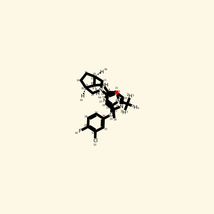 [2H]C([2H])([2H])n1nc(N[C@H]2[C@@H]3CC[C@H]2CN(c2cc(C)ncn2)C3)nc1Oc1ccc(F)c(Cl)c1